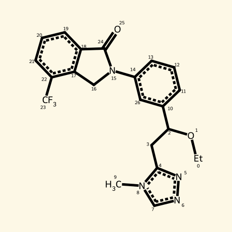 CCOC(Cc1nncn1C)c1cccc(N2Cc3c(cccc3C(F)(F)F)C2=O)c1